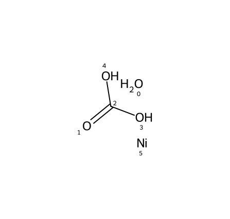 O.O=C(O)O.[Ni]